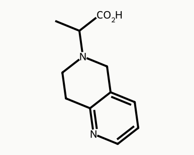 CC(C(=O)O)N1CCc2ncccc2C1